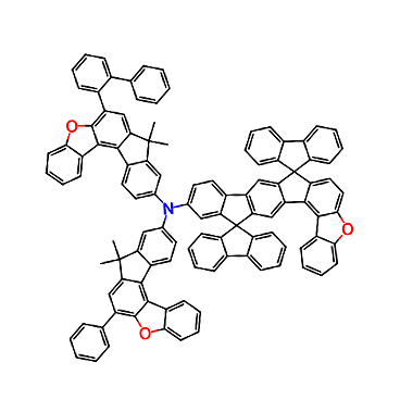 CC1(C)c2cc(N(c3ccc4c(c3)C(C)(C)c3cc(-c5ccccc5-c5ccccc5)c5oc6ccccc6c5c3-4)c3ccc4c(c3)C3(c5ccccc5-c5ccccc53)c3cc5c(cc3-4)C3(c4ccccc4-c4ccccc43)c3ccc4oc6ccccc6c4c3-5)ccc2-c2c1cc(-c1ccccc1)c1oc3ccccc3c21